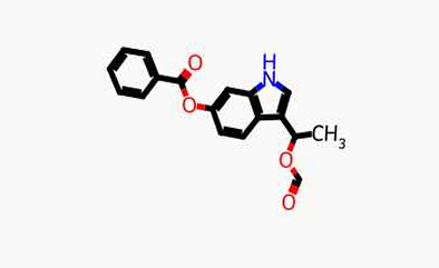 CC(OC=O)c1c[nH]c2cc(OC(=O)c3ccccc3)ccc12